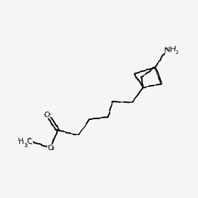 COC(=O)CCCCCC12CC(N)(C1)C2